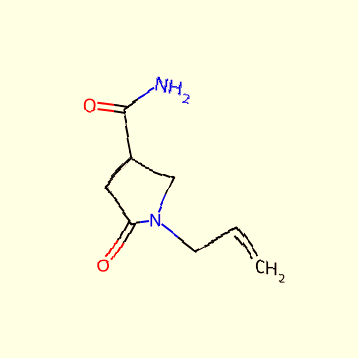 C=CCN1CC(C(N)=O)CC1=O